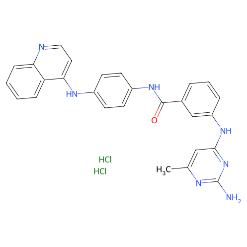 Cc1cc(Nc2cccc(C(=O)Nc3ccc(Nc4ccnc5ccccc45)cc3)c2)nc(N)n1.Cl.Cl